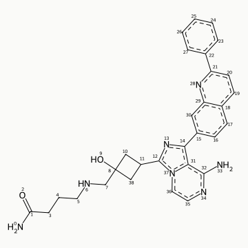 NC(=O)CCCNCC1(O)CC(c2nc(-c3ccc4ccc(-c5ccccc5)nc4c3)c3c(N)nccn23)C1